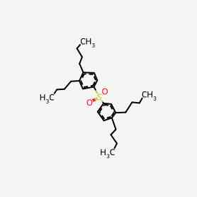 CCCCc1ccc(S(=O)(=O)c2ccc(CCCC)c(CCCC)c2)cc1CCCC